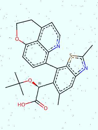 Cc1nc2cc(C)c([C@H](OC(C)(C)C)C(=O)O)c(-c3ccc4c5c(ccnc35)CCO4)c2s1